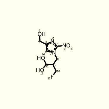 O=[N+]([O-])c1nc(CO)cn1CC(CF)C(O)O